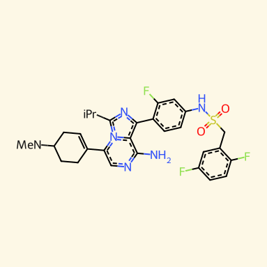 CNC1CC=C(c2cnc(N)c3c(-c4ccc(NS(=O)(=O)Cc5cc(F)ccc5F)cc4F)nc(C(C)C)n23)CC1